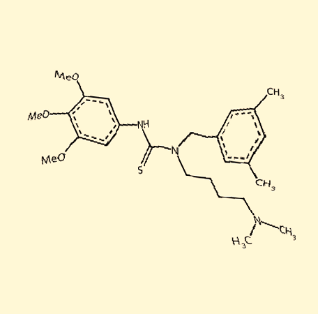 COc1cc(NC(=S)N(CCCCN(C)C)Cc2cc(C)cc(C)c2)cc(OC)c1OC